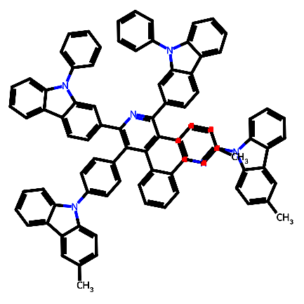 Cc1ccc2c(c1)c1ccccc1n2-c1ccc(-c2c(-c3ccc4c5ccccc5n(-c5ccccc5)c4c3)nc(-c3ccc4c5ccccc5n(-c5ccccc5)c4c3)c(-c3ccc(-n4c5ccccc5c5cc(C)ccc54)cc3)c2-c2ccccc2-c2cccc(C)n2)cc1